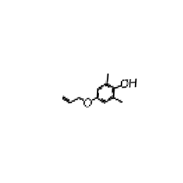 C=CCOc1cc(C)c(O)c(C)c1